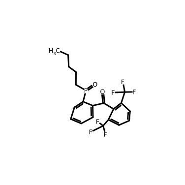 CCCCC[P](=O)c1ccccc1C(=O)c1c(C(F)(F)F)cccc1C(F)(F)F